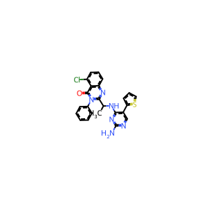 CC(Nc1nc(N)ncc1-c1cccs1)c1nc2cccc(Cl)c2c(=O)n1-c1ccccc1